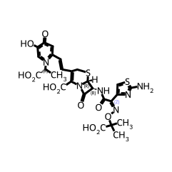 C[C@H](C(=O)O)n1cc(O)c(=O)cc1C=CC1=C(C(=O)O)N2C(=O)[C@@H](NC(=O)/C(=N\OC(C)(C)C(=O)O)c3csc(N)n3)[C@H]2SC1